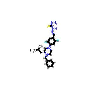 CC(C)C[C@H]1CN(c2cc(F)c(/C=N/NC(N)=S)cc2F)CCN1Cc1ccccc1